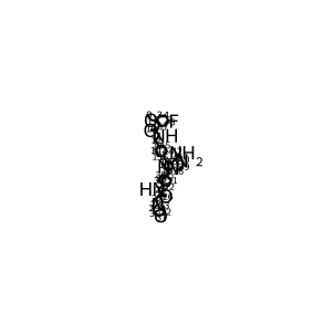 COc1ccc(F)cc1C(=O)NCc1ccc(-c2nc(C34CCC(NC(=O)CN5CCOCC5)(CC3)C4)n3ccnc(N)c23)cc1